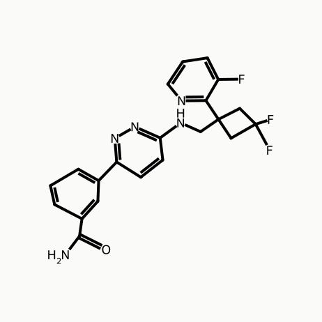 NC(=O)c1cccc(-c2ccc(NCC3(c4ncccc4F)CC(F)(F)C3)nn2)c1